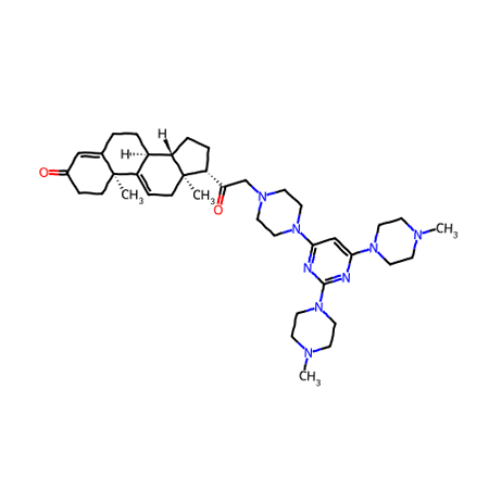 CN1CCN(c2cc(N3CCN(CC(=O)[C@H]4CC[C@H]5[C@@H]6CCC7=CC(=O)CC[C@]7(C)C6=CC[C@]45C)CC3)nc(N3CCN(C)CC3)n2)CC1